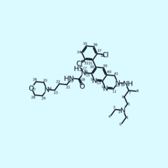 CCN(CC)CCC(C)NN1C=Nc2nc(N(S)C(=O)NCCCN3CCOCC3)c(-c3c(Cl)cccc3Cl)cc2C1